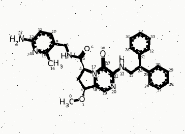 CO[C@H]1C[C@@H](C(=O)NCc2ccc(N)nc2C)n2c1cnc(NCC(c1ccccc1)c1ccccc1)c2=O